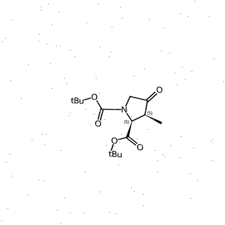 C[C@@H]1C(=O)CN(C(=O)OC(C)(C)C)[C@@H]1C(=O)OC(C)(C)C